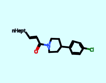 CCCCCCCC=CC(=O)N1CCC(c2ccc(Cl)cc2)CC1